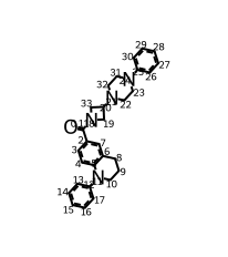 O=C(c1ccc2c(c1)CCCN2c1ccccc1)N1CC(N2CCN(c3ccccc3)CC2)C1